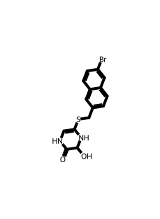 O=C1NC=C(SCc2ccc3cc(Br)ccc3c2)NC1O